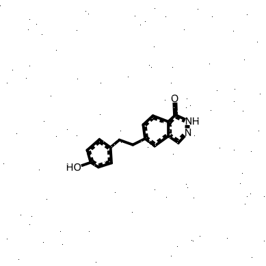 O=c1[nH]ncc2cc(CCc3ccc(O)cc3)ccc12